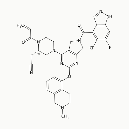 C=CC(=O)N1CCN(c2nc(Oc3cccc4c3CCN(C)C4)nc3c2CN(C(=O)c2c(Cl)c(F)cc4[nH]ncc24)C3)C[C@@H]1CC#N